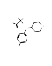 Brc1ccc(OC2CCNCC2)nc1.O=C(O)C(F)(F)F